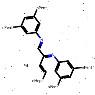 CCCCCCCC=CC(C=Nc1cc(CCCCC)cc(CCCCC)c1)=Nc1cc(CCCCC)cc(CCCCC)c1.[Pd]